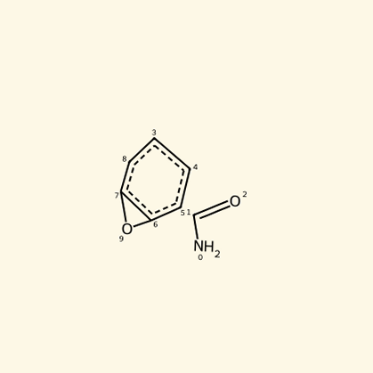 NC=O.c1ccc2c(c1)O2